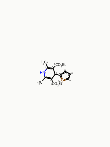 CCOC(=O)C1=C(C(F)(F)F)NC(C(F)(F)F)=C(C(=O)OCC)C1c1cccs1